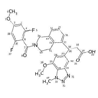 COc1cc(F)c(C(=O)N2CCc3c(cccc3[C@H](CC(=O)O)c3cc(OC)c4c(c3)nnn4C)C2)c(F)c1